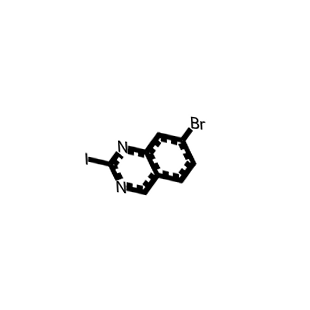 Brc1ccc2cnc(I)nc2c1